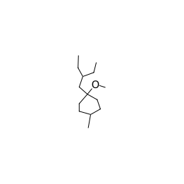 CCC(CC)CC1(OC)CCC(C)CC1